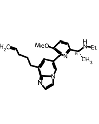 C=CCCCc1cc(-c2nc([C@@H](C)NCC)ccc2OC)cn2ccnc12